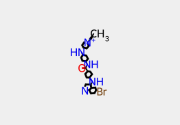 CC#C[n+]1ccc(Nc2ccc(NC(=O)c3ccc(Nc4ccnc5ccc(Br)cc45)cc3)cc2)cc1